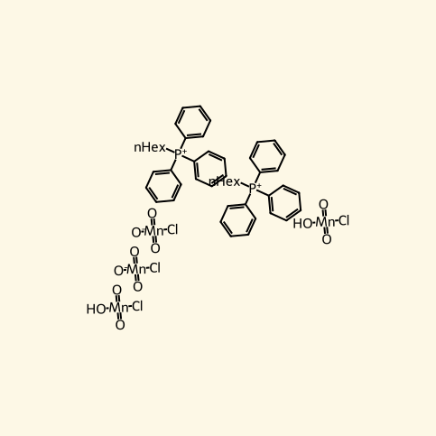 CCCCCC[P+](c1ccccc1)(c1ccccc1)c1ccccc1.CCCCCC[P+](c1ccccc1)(c1ccccc1)c1ccccc1.[O]=[Mn](=[O])([O-])[Cl].[O]=[Mn](=[O])([O-])[Cl].[O]=[Mn](=[O])([OH])[Cl].[O]=[Mn](=[O])([OH])[Cl]